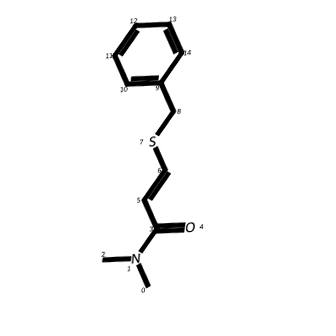 CN(C)C(=O)C=CSCc1ccccc1